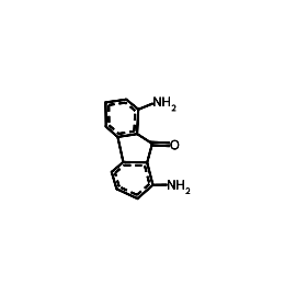 Nc1cccc2c1C(=O)c1c(N)cccc1-2